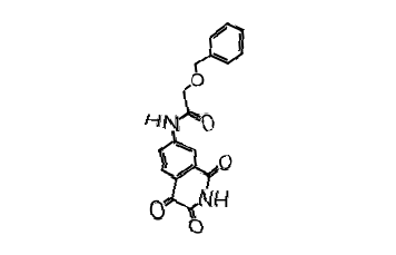 O=C(COCc1ccccc1)Nc1ccc2c(c1)C(=O)NC(=O)C2=O